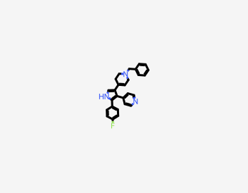 Fc1ccc(-c2[nH]cc(C3=CCN(Cc4ccccc4)CC3)c2-c2ccncc2)cc1